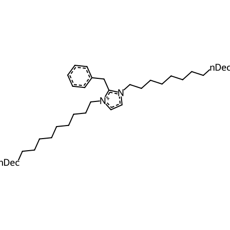 CCCCCCCCCCCCCCCCCCC[n+]1ccn(CCCCCCCCCCCCCCCCCC)c1Cc1ccccc1